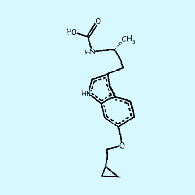 C[C@H](Cc1c[nH]c2cc(OCC3CC3)ccc12)NC(=O)O